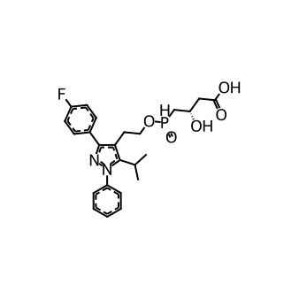 CC(C)c1c(CCO[PH](=O)C[C@@H](O)CC(=O)O)c(-c2ccc(F)cc2)nn1-c1ccccc1